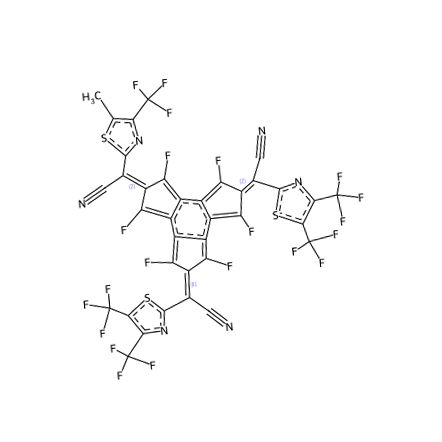 Cc1sc(/C(C#N)=C2\C(F)=c3c4c(c5c(c3=C2F)=C(F)/C(=C(/C#N)c2nc(C(F)(F)F)c(C(F)(F)F)s2)C=5F)=C(F)/C(=C(/C#N)c2nc(C(F)(F)F)c(C(F)(F)F)s2)C=4F)nc1C(F)(F)F